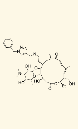 CC[C@H]1OC(=O)C[C@@H](O)[C@H](C)[C@@H](O[C@@H]2O[C@H](C)[C@@H](O)C(N(C)C)C2O)[C@@H](CCN(C)Cc2cn(Cc3ccccc3)nn2)C[C@@H](C)C(=O)/C=C/C(C)=C/[C@@H]1CO